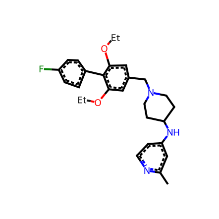 CCOc1cc(CN2CCC(Nc3ccnc(C)c3)CC2)cc(OCC)c1-c1ccc(F)cc1